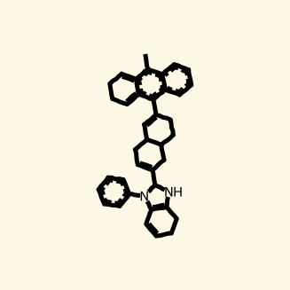 Cc1c2c(c(C3=CC4CC=C(C5NC6=C(C=CCC6)N5c5ccccc5)CC4CC3)c3ccccc13)=CCCC=2